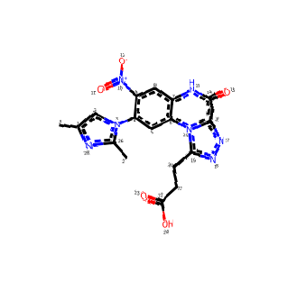 Cc1cn(-c2cc3c(cc2[N+](=O)[O-])[nH]c(=O)c2nnc(CCC(=O)O)n23)c(C)n1